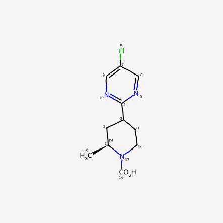 C[C@H]1CC(c2ncc(Cl)cn2)CCN1C(=O)O